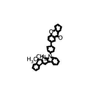 CC1(C)c2ccccc2-c2cc3c4ccccc4n(-c4ccc(-c5ccc6oc7ccccc7c(=O)c6c5)cc4)c3nc21